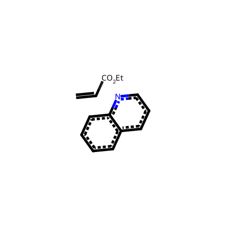 C=CC(=O)OCC.c1ccc2ncccc2c1